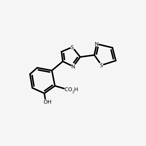 O=C(O)c1c(O)cccc1-c1csc(-c2nccs2)n1